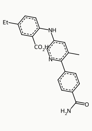 CCc1ccc(Nc2cnc(-c3ccc(C(N)=O)cc3)c(C)c2)c(C(=O)O)c1